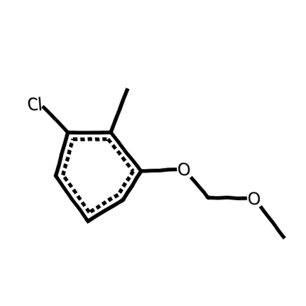 COCOc1cccc(Cl)c1C